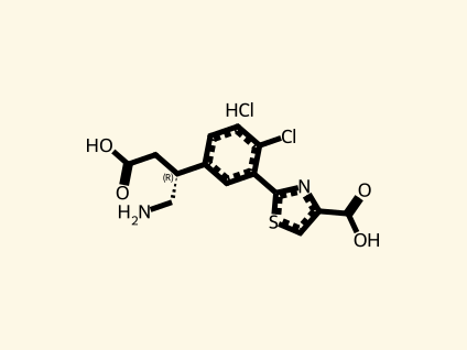 Cl.NC[C@H](CC(=O)O)c1ccc(Cl)c(-c2nc(C(=O)O)cs2)c1